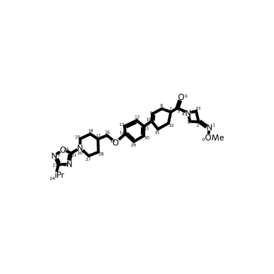 CON=C1CN(C(=O)C2CC=C(c3ccc(OCC4CCN(c5nc(C(C)C)no5)CC4)cc3)CC2)C1